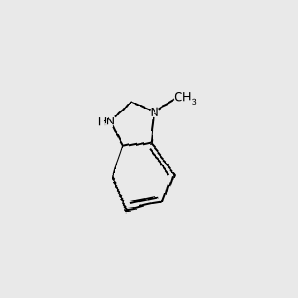 CN1CNC2CC=CC=C21